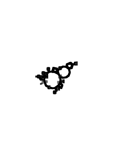 COC[C@@H]1[C@@H](C)CCCC(C=O)[C@@H]2CC[C@H]2CN2CCCCc3cc(Cl)ccc3COc3ccc(cc32)C(=O)NS1(=O)=O